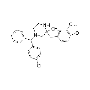 CC1(Cc2ccc3c(c2)OCO3)CN(C(c2ccccc2)c2ccc(Cl)cc2)CCN1